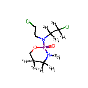 [2H]N1C([2H])([2H])C([2H])([2H])COP1(=O)N(CCCl)C([2H])([2H])C([2H])([2H])Cl